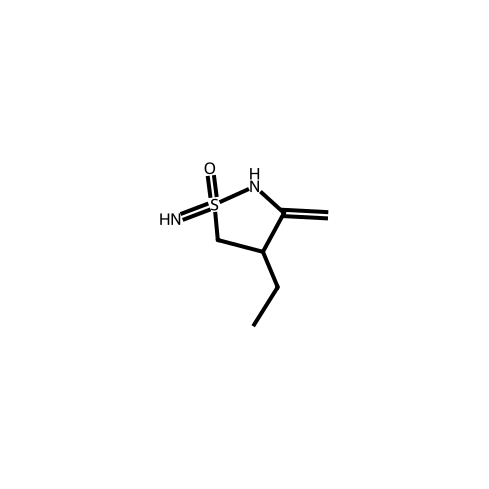 C=C1NS(=N)(=O)CC1CC